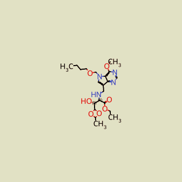 CCCCOCn1cc(CN[C@@H](C(=O)OCC)[C@@H](O)C2OC(C)O2)c2ncnc(OC)c21